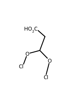 O=C(O)CC(OCl)OCl